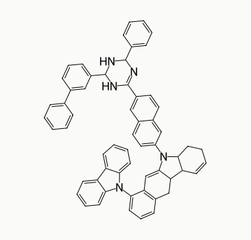 C1=CC2C3Cc4cccc(-n5c6ccccc6c6ccccc65)c4C=C3N(c3ccc4cc(C5=NC(c6ccccc6)NC(c6cccc(-c7ccccc7)c6)N5)ccc4c3)C2CC1